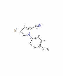 Cc1ccc(-n2cc(Br)cc2C#N)cc1